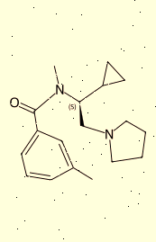 Cc1cccc(C(=O)N(C)[C@H](CN2CCCC2)C2CC2)c1